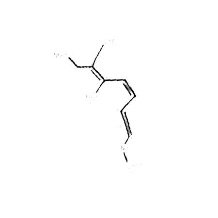 CSC/C(C)=C(O)/C=C\C=C\NC=O